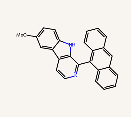 COc1ccc2[nH]c3c(-c4c5ccccc5cc5ccccc45)nccc3c2c1